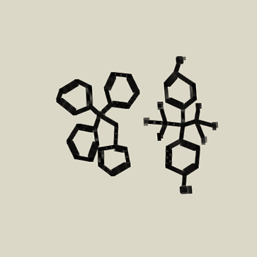 [O-]c1ccc(C(c2ccc(O)cc2)(C(F)(F)F)C(F)(F)F)cc1.c1ccc(C[P+](c2ccccc2)(c2ccccc2)c2ccccc2)cc1